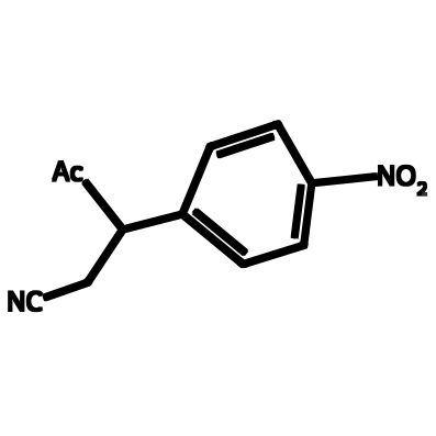 CC(=O)C(CC#N)c1ccc([N+](=O)[O-])cc1